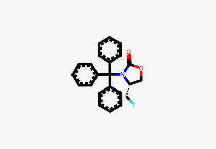 O=C1OC[C@H](CF)N1C(c1ccccc1)(c1ccccc1)c1ccccc1